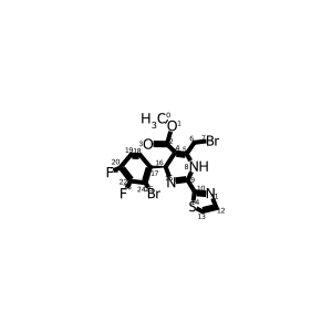 COC(=O)C1=C(CBr)NC(c2nccs2)=N[C@H]1c1ccc(F)c(F)c1Br